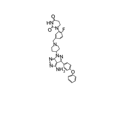 Nc1ncnc2c1c(-c1ccc(Oc3ccccc3)cc1)nn2C1CCN(Cc2ccc(F)c(N3CCC(=O)NC3=O)c2)CC1